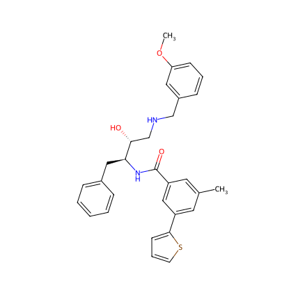 COc1cccc(CNC[C@@H](O)[C@H](Cc2ccccc2)NC(=O)c2cc(C)cc(-c3cccs3)c2)c1